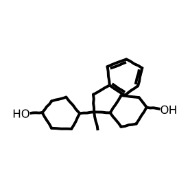 CC(Cc1ccccc1)(C1CCC(O)CC1)C1CCC(O)CC1